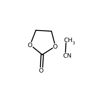 CC#N.O=C1OCCO1